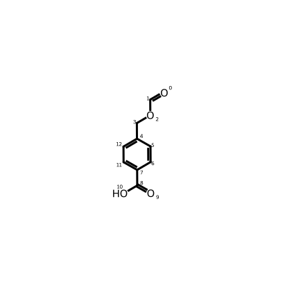 O=[C]OCc1ccc(C(=O)O)cc1